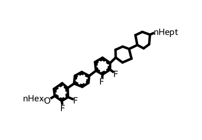 CCCCCCCC1CCC(C2CCC(c3ccc(-c4ccc(-c5ccc(OCCCCCC)c(F)c5F)cc4)c(F)c3F)CC2)CC1